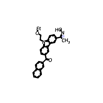 CCOCCn1c2ccc(C(=O)c3ccc4ccccc4c3)cc2c2cc(/C(C)=N\O)ccc21